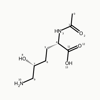 CC(=O)N[C@@H](CC[C@@H](O)CN)C(=O)O